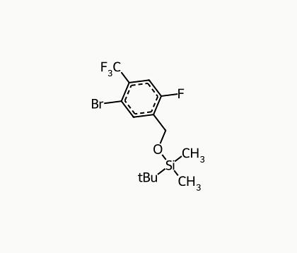 CC(C)(C)[Si](C)(C)OCc1cc(Br)c(C(F)(F)F)cc1F